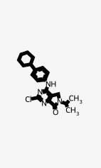 CC(C)N1Cc2c(Nc3ccc(C4CCCCC4)cc3)nc(Cl)nc2C1=O